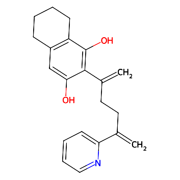 C=C(CCC(=C)c1c(O)cc2c(c1O)CCCC2)c1ccccn1